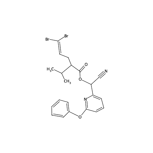 CC(C)C(CC=C(Br)Br)C(=O)OC(C#N)c1cccc(Oc2ccccc2)n1